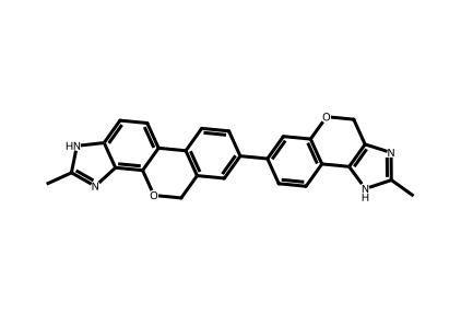 Cc1nc2c([nH]1)-c1ccc(-c3ccc4c(c3)COc3c-4ccc4[nH]c(C)nc34)cc1OC2